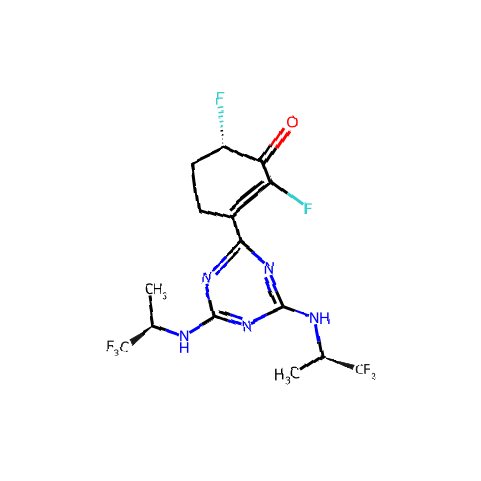 C[C@@H](Nc1nc(N[C@H](C)C(F)(F)F)nc(C2=C(F)C(=O)[C@@H](F)CC2)n1)C(F)(F)F